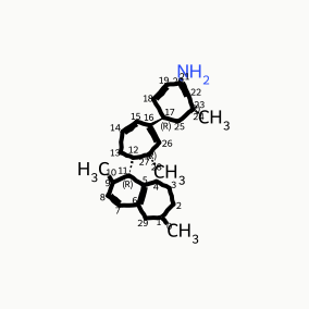 CC1CCCC2=C(C=CC(C)[C@@H]2C2CC=CC([C@H]3C=CC(N)=C[C@H](C)C3)=C[C@@H]2C)C1